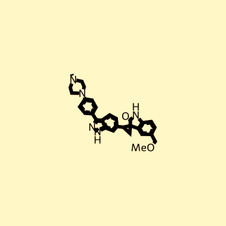 COCc1ccc2c(c1)C1(CC1c1ccc3c(-c4ccc(N5CCN(C)CC5)cc4)n[nH]c3c1)C(=O)N2